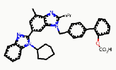 CCCc1nc2c(C)cc(-c3nc4ccccc4n3C3CCCCC3)cc2n1Cc1ccc(-c2ccccc2OC(=O)O)cc1